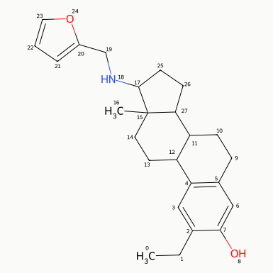 CCc1cc2c(cc1O)CCC1C2CCC2(C)C(NCc3ccco3)CCC12